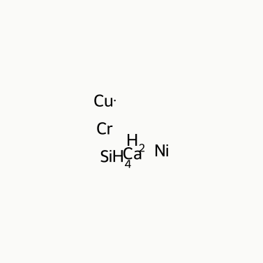 [CaH2].[Cr].[Cu].[Ni].[SiH4]